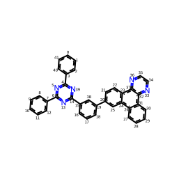 c1ccc(-c2nc(-c3ccccc3)nc(-c3cccc(-c4ccc5c(c4)c4ccccc4c4nccnc54)c3)n2)cc1